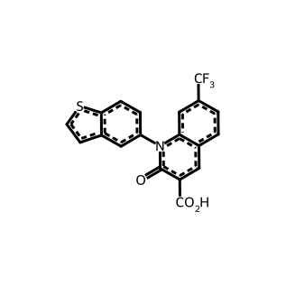 O=C(O)c1cc2ccc(C(F)(F)F)cc2n(-c2ccc3sccc3c2)c1=O